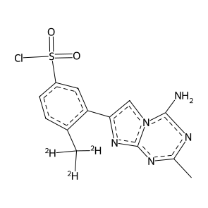 [2H]C([2H])([2H])c1ccc(S(=O)(=O)Cl)cc1-c1cn2c(N)nc(C)nc2n1